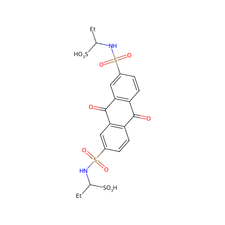 CCC(NS(=O)(=O)c1ccc2c(c1)C(=O)c1cc(S(=O)(=O)NC(CC)S(=O)(=O)O)ccc1C2=O)S(=O)(=O)O